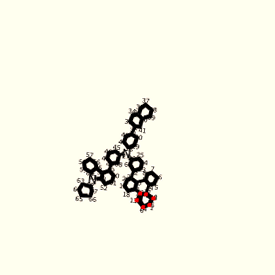 c1ccc(-c2ccccc2-c2c(-c3ccccc3)cccc2-c2cccc(N(c3ccc(-c4ccc5ccccc5c4)cc3)c3cccc(-c4cccc5c4c4ccccc4n5-c4ccccc4)c3)c2)cc1